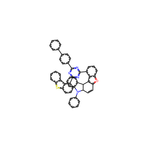 C1=CC2C(c3ccccc3N2c2ccccc2)c2c1oc1cccc(-c3nc(-c4ccc(-c5ccccc5)cc4)nc(-c4cccc5sc6ccccc6c45)n3)c21